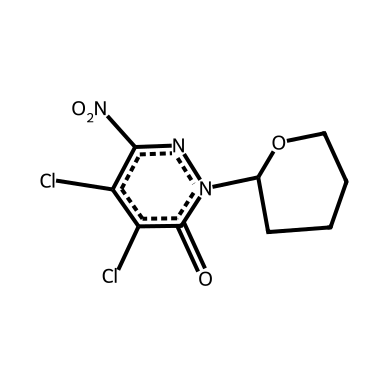 O=c1c(Cl)c(Cl)c([N+](=O)[O-])nn1C1CCCCO1